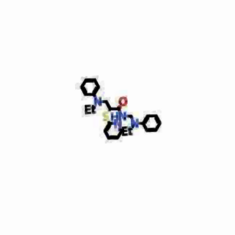 CCN(CNC(=O)C(CN(CC)c1ccccc1)Sc1ccccn1)c1ccccc1